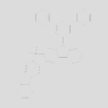 CC1(C)c2cc3oc4ccccc4c3cc2-c2cc3c4ccccc4n(-c4cc(-c5ccccc5)cc(-c5ccccc5)n4)c3cc21